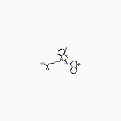 C[n+]1ccc(/C=C2\Sc3ccccc3N2CCCCC(=O)O)c2ccccc21.[Br-]